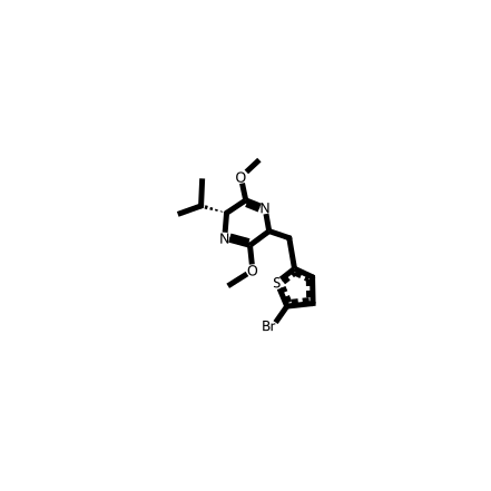 COC1=N[C@H](C(C)C)C(OC)=NC1Cc1ccc(Br)s1